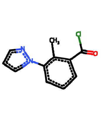 Cc1c(C(=O)Cl)cccc1-n1cccn1